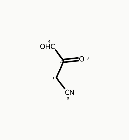 N#CCC(=O)C=O